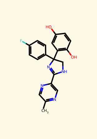 Cc1cnc(C2=NC(c3ccc(F)cc3)(c3cc(O)ccc3O)CN2)cn1